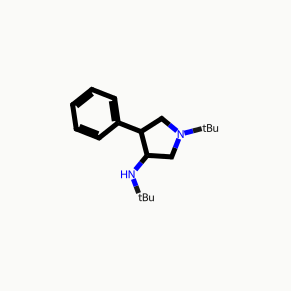 CC(C)(C)NC1CN(C(C)(C)C)CC1c1ccccc1